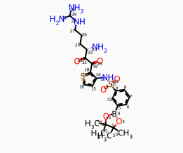 CC1(C)OB(c2cccc(S(=O)(=O)Nc3ccsc3C(=O)C(=O)[C@@H](N)CCCNC(N)N)c2)OC1(C)C